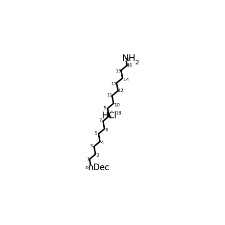 CCCCCCCCCCCCCCCCCCCCCCCCCCN.Cl